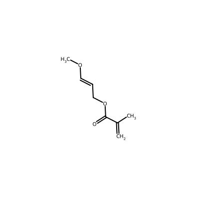 C=C(C)C(=O)OCC=COC